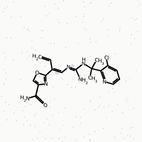 C=C/C(=C\N=C(/N)NC(C)(C)c1ncccc1Cl)c1nc(C(N)=O)co1